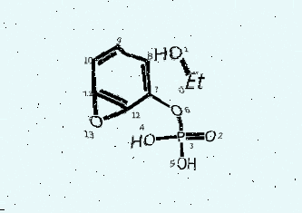 CCO.O=P(O)(O)Oc1cccc2c1O2